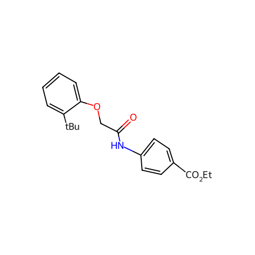 CCOC(=O)c1ccc(NC(=O)COc2ccccc2C(C)(C)C)cc1